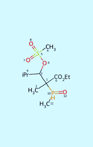 CCOC(=O)C(C)(C(OS(C)(=O)=O)C(C)C)[PH](C)=O